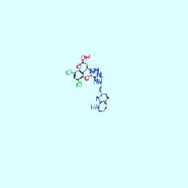 O=C(O)CC(NC(=O)c1ncn(CCc2ccc3c(n2)NCCC3)n1)c1cc(Cl)cc(Cl)c1